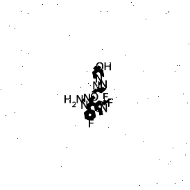 Cc1cc(-c2c(OCc3ccnc(N4CCC(C)(O)CC4)n3)nc(N)nc2-c2ccc(F)cc2)cc(C(F)F)n1